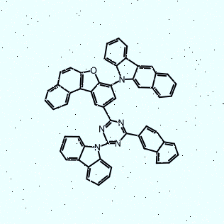 c1ccc2cc(-c3nc(-c4cc(-n5c6ccccc6c6cc7ccccc7cc65)c5oc6ccc7ccccc7c6c5c4)nc(-n4c5ccccc5c5ccccc54)n3)ccc2c1